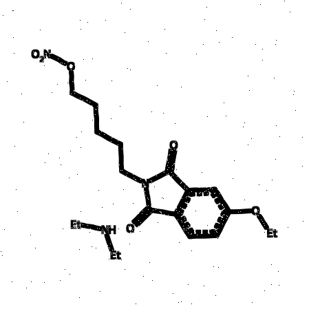 CCNCC.CCOc1ccc2c(c1)C(=O)N(CCCCCO[N+](=O)[O-])C2=O